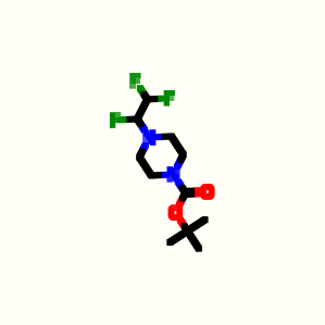 CC(C)(C)OC(=O)N1CCN(C(F)C(F)F)CC1